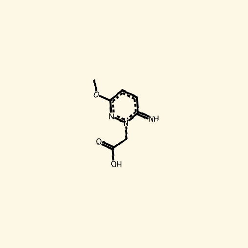 COc1ccc(=N)n(CC(=O)O)n1